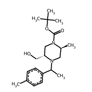 Cc1ccc(C(C)N2C[C@H](C)N(C(=O)OC(C)(C)C)C[C@H]2CO)cc1